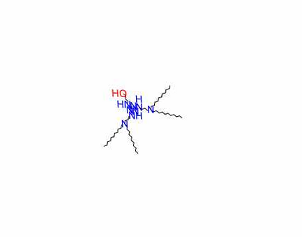 CCCCCCCCCCCN(CCCCCCCCCCC)CCCNc1nc(NCCCO)nc(NCCCN(CCCCCCCCCCC)CCCCCCCCCCC)n1